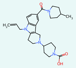 C=CCn1c2c(c3cc(C(=O)N4CCC(C)CC4)ccc31)CN(C1CCN(C(=O)O)CC1)CC2